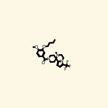 CCCCOc1cc(C(=O)N2CCC3(CC2)c2ccc(C(F)(F)F)n2CCN3C)ccc1OC